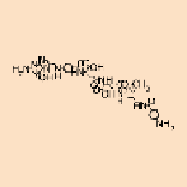 COC(=O)[C@H](CCCCNC(=O)c1ccc(N)cc1)NC(=O)CC[C@H](NC(=O)CC[C@H](NC(=O)c1ccc(NCc2cnc3nc(N)nc(O)c3n2)cc1)C(=O)O)C(=O)O